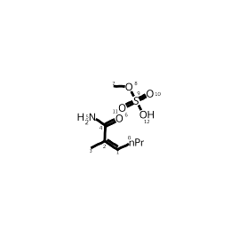 CCCC=C(C)C(N)=O.COS(=O)(=O)O